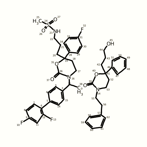 CC(c1ccc(-c2ccc(F)cc2F)cc1)N1CCC(CCCNS(C)(=O)=O)(c2ccc(F)cc2)OC1=O.O=C1OC(CCCO)(c2ccccc2)CCN1CCc1ccccc1